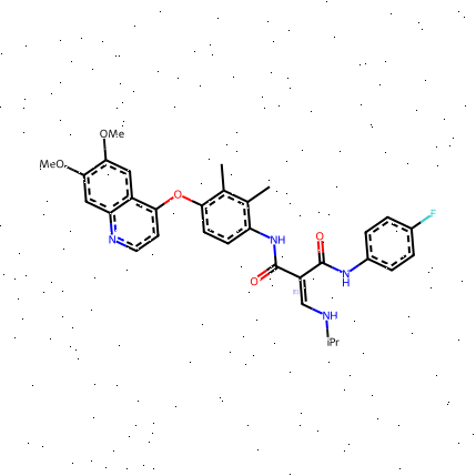 COc1cc2nccc(Oc3ccc(NC(=O)/C(=C/NC(C)C)C(=O)Nc4ccc(F)cc4)c(C)c3C)c2cc1OC